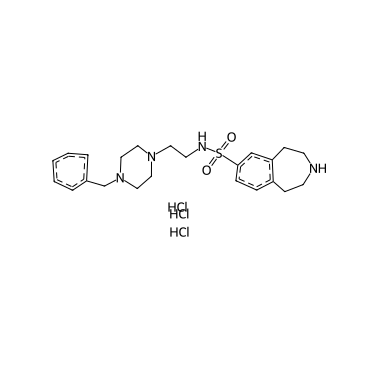 Cl.Cl.Cl.O=S(=O)(NCCN1CCN(Cc2ccccc2)CC1)c1ccc2c(c1)CCNCC2